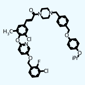 Cc1cc(/C=C/C(=O)N2CCN(Cc3ccc(COc4ccc(OC(C)C)cc4)cc3)CC2)cc(Cl)c1Oc1ccc(OCc2cccc(Cl)c2F)cn1